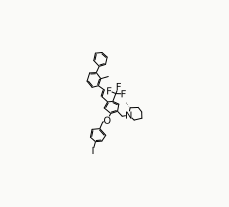 Cc1c(/C=C/c2cc(OCc3ccc(I)cc3)c(CN3CCCC[C@H]3C)cc2C(F)(F)F)cccc1-c1ccccc1